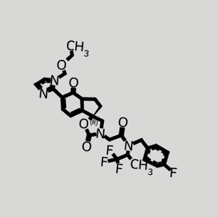 CCOCn1ccnc1C1=CC=C2C(CC[C@]23CN(CC(=O)N(Cc2ccc(F)cc2)C(C)C(F)(F)F)C(=O)O3)C1=O